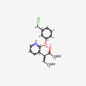 COC=C(C(=O)OC)c1cccnc1Oc1cccc(CCl)c1